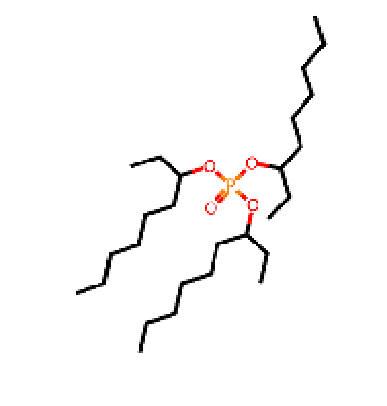 CCCCCCC(CC)OP(=O)(OC(CC)CCCCCC)OC(CC)CCCCCC